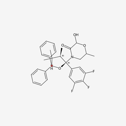 CC1CN([C@](O[SiH](c2ccccc2)c2ccccc2)(c2cc(F)c(F)c(F)c2)[C@H](C)C(C)(C)C)C(=O)C(O)O1